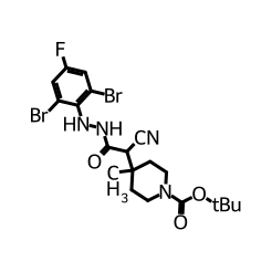 CC(C)(C)OC(=O)N1CCC(C)(C(C#N)C(=O)NNc2c(Br)cc(F)cc2Br)CC1